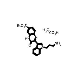 CC(=O)O.CCOC(=O)c1ccc2nc(-c3cn(CCCN)c4ccccc34)c(=O)[nH]c2c1